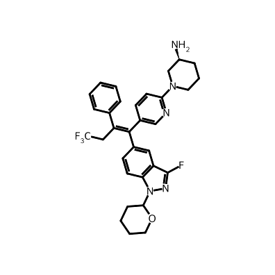 N[C@H]1CCCN(c2ccc(/C(=C(/CC(F)(F)F)c3ccccc3)c3ccc4c(c3)c(F)nn4C3CCCCO3)cn2)C1